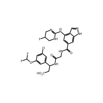 O=C(O)CC(NC(=O)CNC(=O)c1cc(NC2=NCC(F)CN2)c2cn[nH]c2c1)c1cc(Cl)cc(OC(F)F)c1